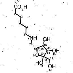 O=C(O)CCCCCNC[C@H]1O[C@@](O)(CO)[C@H](O)[C@H]1O